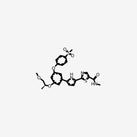 CNC(=O)c1cnc(-c2ccc(-c3cc(Oc4ccc(S(C)(=O)=O)cc4)cc(O[C@@H](C)COC)c3)[nH]2)s1